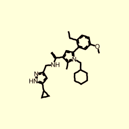 C=C(NCc1cc(C2CC2)[nH]n1)c1cc(-c2cc(OC)ccc2CC)n(CC2CCCCC2)c1C